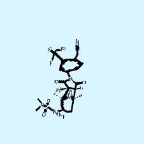 CN(C)S(=O)(=O)N[C@@H]1C[C@@]2(C)O[C@]1(C)[C@@H]1C(=O)N(c3ccc(C#N)c(C(F)(F)F)c3)C(=O)[C@@H]12